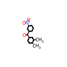 Cc1ccc(C(=O)c2cccc([N+](=O)[O-])c2)cc1C